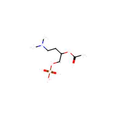 CC(=O)OC(CCN(C)C)COS(=O)(=O)O